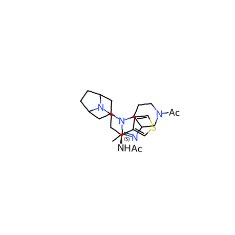 CC(=O)N[C@@H](CCN1C2CCC1CC(N1C(C)=NC3CN(C(C)=O)CCC31)C2)c1ccsc1